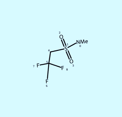 CNS(=O)(=O)CC(F)(F)F